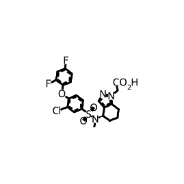 CN([C@@H]1CCCc2c1cnn2CC(=O)O)S(=O)(=O)c1ccc(Oc2ccc(F)cc2F)c(Cl)c1